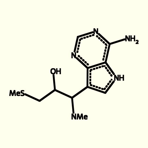 CNC(c1c[nH]c2c(N)ncnc12)C(O)CSC